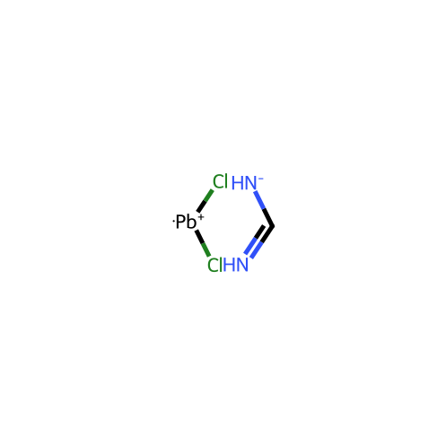 N=C[NH-].[Cl][Pb+][Cl]